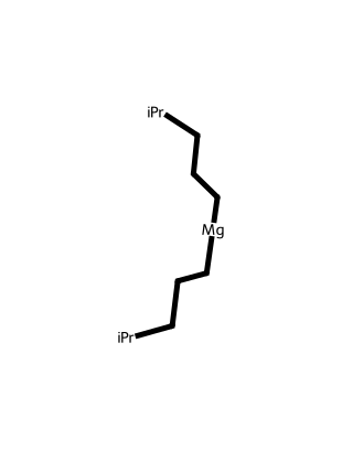 CC(C)CC[CH2][Mg][CH2]CCC(C)C